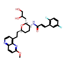 COc1ccc2nccc(CC[C@@H]3CC[C@@H](NC(=O)C=Cc4cc(F)ccc4F)[C@@H](CC(O)CO)O3)c2n1